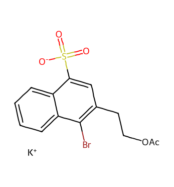 CC(=O)OCCc1cc(S(=O)(=O)[O-])c2ccccc2c1Br.[K+]